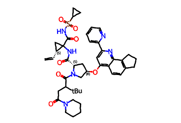 C=C[C@@H]1CC1(NC(=O)[C@@H]1C[C@@H](Oc2cc(-c3ccccn3)nc3c4c(ccc23)CCC4)CN1C(=O)C(CC(=O)N1CCCCC1)C(C)(C)C)C(=O)NS(=O)(=O)C1CC1